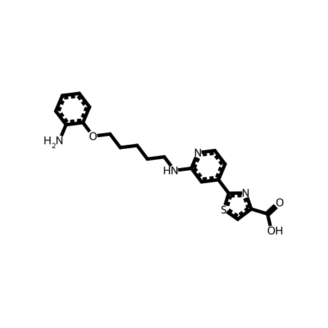 Nc1ccccc1OCCCCCNc1cc(-c2nc(C(=O)O)cs2)ccn1